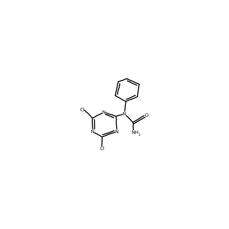 NC(=O)N(c1ccccc1)c1nc(Cl)nc(Cl)n1